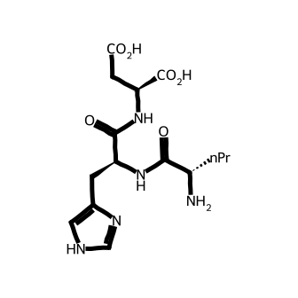 CCC[C@H](N)C(=O)N[C@@H](Cc1c[nH]cn1)C(=O)N[C@@H](CC(=O)O)C(=O)O